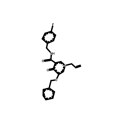 C=CCn1cc(OCc2ccccc2)c(=O)c(C(=O)NCc2ccc(F)cc2)c1